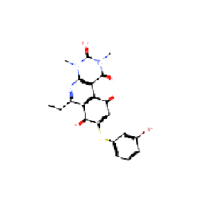 CCc1nc2c(c3c1C(=O)C(Sc1cccc(Br)c1)=CC3=O)c(=O)n(C)c(=O)n2C